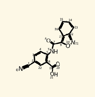 N#Cc1ccc(NC(=O)c2onc3ccccc23)c(C(=O)O)c1